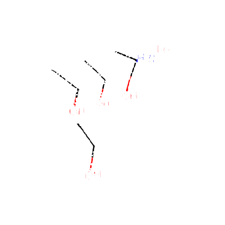 CCO.CCO.CCO.CCO.N.O